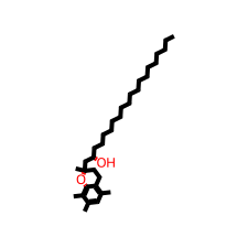 CCCCCCCCCCCCCCCCCCC(O)CC1(C)CCc2c(C)cc(C)c(C)c2O1